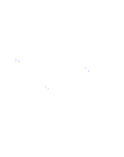 CCN(CC)CCCN(C)C(C)c1c[c]no1